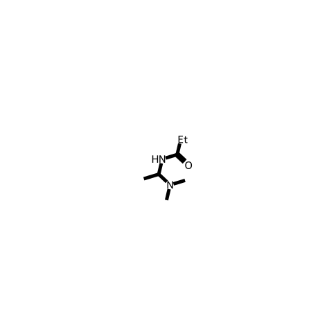 [CH2]CC(=O)NC(C)N(C)C